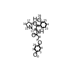 COc1ccc(OCCC(=O)N[C@H](CN2CCCC2)[C@H](O)c2ccccc2OC)cc1